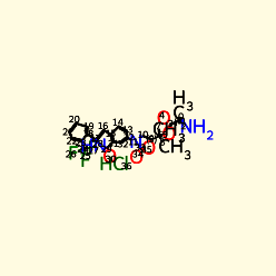 C[C@H](N)C(=O)OC(C)(C)[C@@H]1CN(c2ccc3cc(-c4ccccc4C(F)(F)F)[nH]c(=O)c3c2)C(=O)O1.Cl